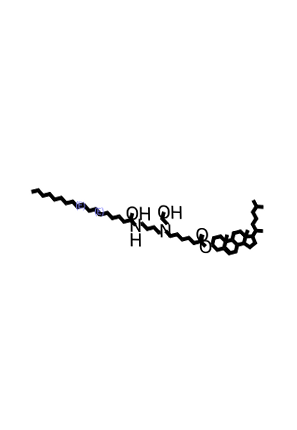 CCCCCCCC/C=C/C/C=C/CCCCC(O)NCCCCN(CCO)CCCCCC(=O)OC1CCC2(C)C(=CCC3C2CCC2(C)C(C(C)CCCC(C)C)CCC32)C1